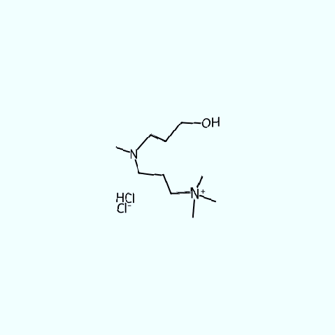 CN(CCCO)CCC[N+](C)(C)C.Cl.[Cl-]